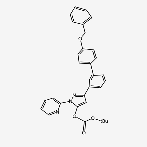 CC(C)(C)OC(=O)Oc1cc(-c2cccc(-c3ccc(OCc4ccccc4)cc3)c2)nn1-c1ccccn1